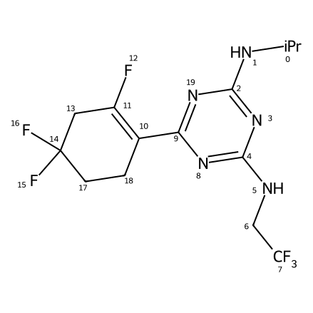 CC(C)Nc1nc(NCC(F)(F)F)nc(C2=C(F)CC(F)(F)CC2)n1